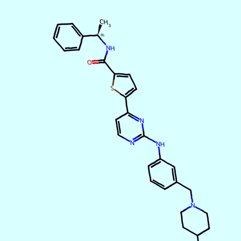 C[C@@H](NC(=O)c1ccc(-c2ccnc(Nc3cccc(CN4CCC(O)CC4)c3)n2)s1)c1ccccc1